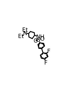 CCN(CC)C1CCC(NS(=O)(=O)c2ccc(-c3ccc(F)cc3F)cc2)CC1